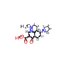 CN1CCc2c(N3CCCC3)ccc3c(=O)c(C(=O)O)cn1c23